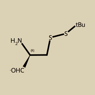 CC(C)(C)SSC[C@H](N)[C]=O